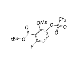 COc1c(OS(=O)(=O)C(F)(F)F)ccc(F)c1C(=O)OC(C)(C)C